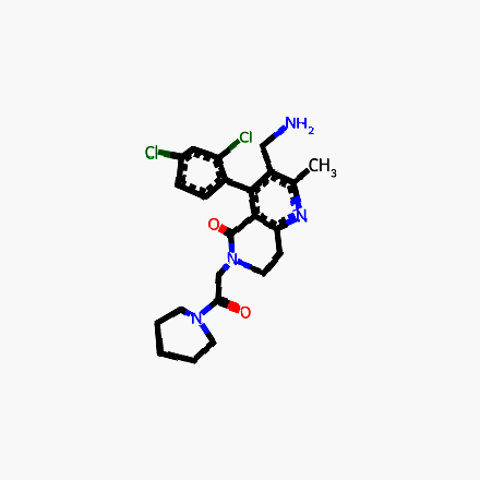 Cc1nc2c(c(-c3ccc(Cl)cc3Cl)c1CN)C(=O)N(CC(=O)N1CCCCC1)CC2